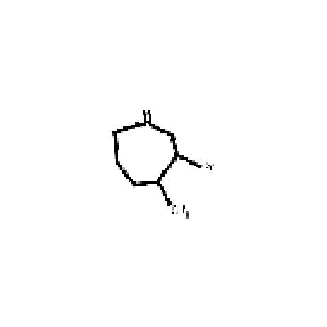 CC(C)C1CNCCCC1C